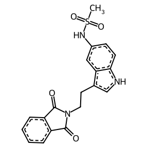 CS(=O)(=O)Nc1ccc2[nH]cc(CCN3C(=O)c4ccccc4C3=O)c2c1